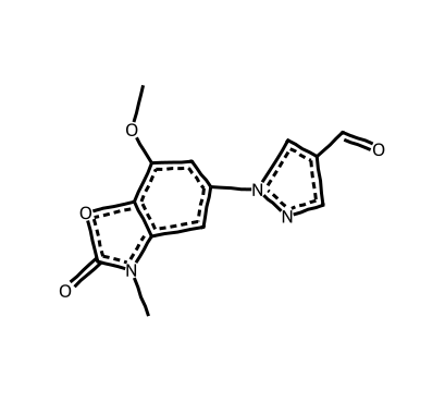 COc1cc(-n2cc(C=O)cn2)cc2c1oc(=O)n2C